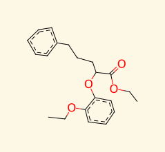 CCOC(=O)C(CCCc1ccccc1)Oc1ccccc1OCC